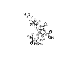 C[C@@H](NS(=O)(=O)CCN)[C@H]1C(=O)N2C(C(=O)O)=C(S[C@@H]3CN[C@H](C(=O)N(C)C)C3)[C@H](C)[C@H]12